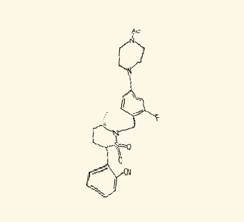 CC(=O)N1CCN(c2ccc(CN3[C@@H](C)CCC(c4ccccc4C#N)S3(=O)=O)c(F)c2)CC1